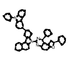 c1ccc(-c2cc3c(ccc4nc(-n5c6ccc(-c7ccc8c(c7)c7ccccc7n8-c7ccccc7)cc6c6c7ccccc7ccc65)nc(-c5ccccc5)c43)o2)cc1